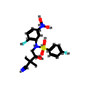 CC(C)(C#N)C(=O)CN(c1cc([N+](=O)[O-])ccc1F)S(=O)(=O)c1ccc(F)cc1